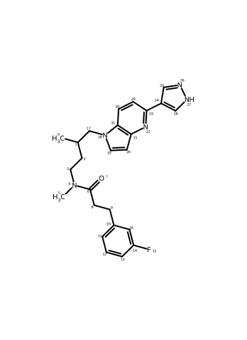 CC(CCN(C)C(=O)CCc1cccc(F)c1)Cn1ccc2nc(-c3cn[nH]c3)ccc21